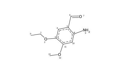 CCOc1cc(C=O)c(N)cc1OC